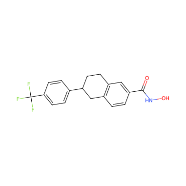 O=C(NO)c1ccc2c(c1)CCC(c1ccc(C(F)(F)F)cc1)C2